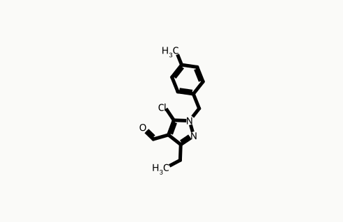 CCc1nn(Cc2ccc(C)cc2)c(Cl)c1C=O